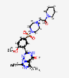 CCCc1nc(C)c2c(=O)[nH]c(-c3cc(S(=O)(=O)N4CCN(CC(=O)N5CCCCC5)CC4)ccc3OCC)nn12